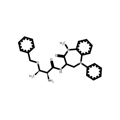 C[C@@H](OCc1ccccc1)[C@H](N)C(=O)NC1CN(c2ccccc2)c2ccccc2N(C)C1=O